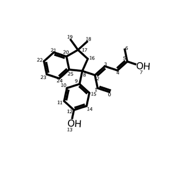 C=C/C(=C\C=C(/C)O)C1(c2ccc(O)cc2)CC(C)(C)c2ccccc21